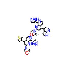 C[C@@H]1COCCN1c1cc(-c2ccnc3[nH]ccc23)c2ccnc(-c3ccn[nH]3)c2n1.Cc1sccc1-c1cc(N2CCOC[C@H]2C)nc2c(-c3ccn[nH]3)nccc12